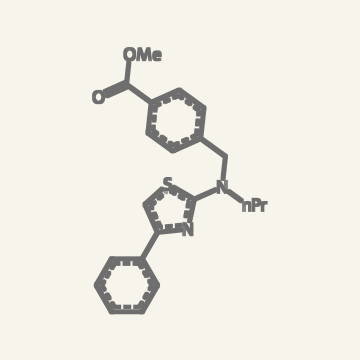 CCCN(Cc1ccc(C(=O)OC)cc1)c1nc(-c2ccccc2)cs1